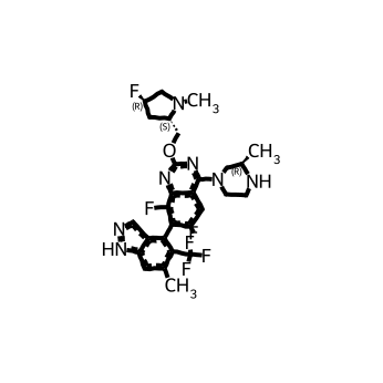 Cc1cc2[nH]ncc2c(-c2c(F)cc3c(N4CCN[C@H](C)C4)nc(OC[C@@H]4C[C@@H](F)CN4C)nc3c2F)c1C(F)(F)F